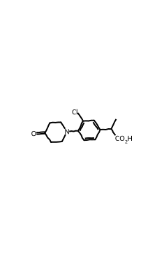 CC(C(=O)O)c1ccc(N2CCC(=O)CC2)c(Cl)c1